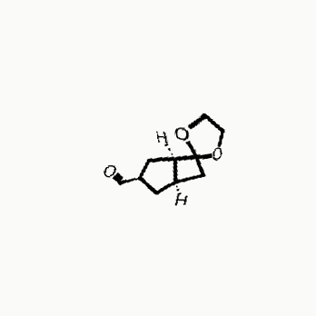 O=C[C@@H]1C[C@@H]2CC3(OCCO3)[C@@H]2C1